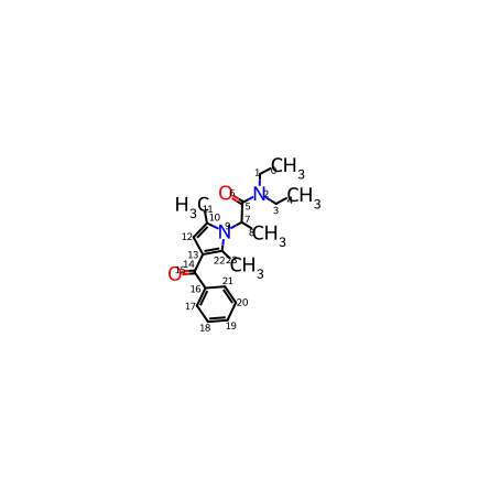 CCN(CC)C(=O)C(C)n1c(C)cc(C(=O)c2ccccc2)c1C